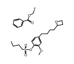 CCCCS(=O)(=O)Oc1ccc(CCCCC2CCO2)cc1OC.O=C(OCF)c1ccccc1